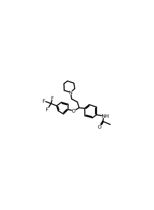 CC(=O)Nc1ccc(C(CCN2CCCCC2)Oc2ccc(C(F)(F)F)cc2)cc1